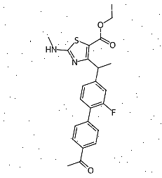 CCOC(=O)c1sc(NC)nc1C(C)c1ccc(-c2ccc(C(C)=O)cc2)c(F)c1